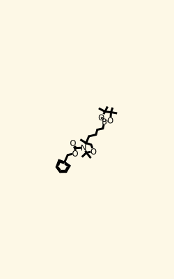 CC1(CCCCB2OC(C)(C)C(C)(C)O2)COC(C)(C)N1C(=O)OCc1ccccc1